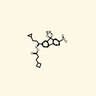 COC1(OC)c2cc(/C(CCC3CC3)=N\OC(=O)CCC3CCC3)ccc2-c2ccc([N+](=O)[O-])cc21